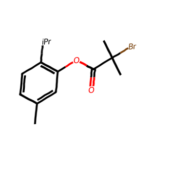 Cc1ccc(C(C)C)c(OC(=O)C(C)(C)Br)c1